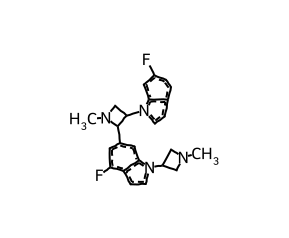 CN1CC(n2ccc3c(F)cc(C4C(n5ccc6ccc(F)cc65)CN4C)cc32)C1